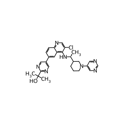 C[C@H](Nc1c(Cl)cnc2ccc(-c3cnc(C(C)(C)O)nc3)cc12)C1CCCN(c2cncnc2)C1